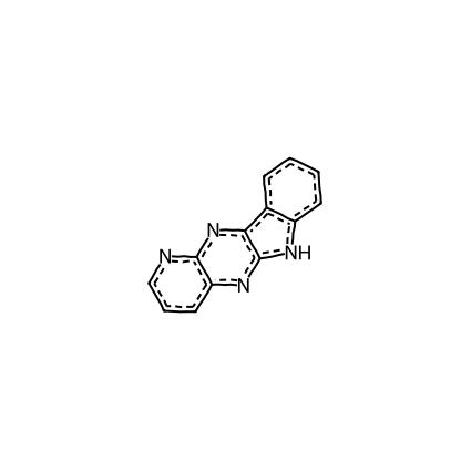 c1cnc2nc3c(nc2c1)[nH]c1ccccc13